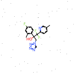 Cc1ccc(C(F)(F)C(O)(Cn2cnnn2)c2ccc(F)cc2C)nc1